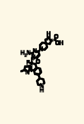 Cc1ccn(-c2cc(C3CCNCC3)ccc2C(Oc2cc(N3CCC4(CC3)CN[C@H](C(=O)O)C4)nc(N)n2)C(F)(F)F)n1